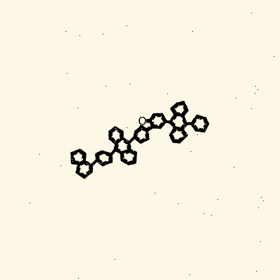 c1ccc(-c2c3ccccc3c(-c3ccc4oc5cc(-c6c7ccccc7c(-c7ccc(-c8cccc9ccccc89)cc7)c7ccccc67)ccc5c4c3)c3ccccc23)cc1